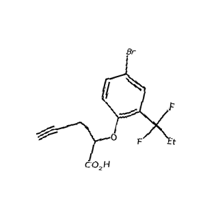 C#CCC(Oc1ccc(Br)cc1C(F)(F)CC)C(=O)O